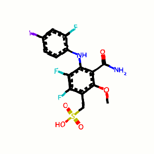 COc1c(CS(=O)(=O)O)c(F)c(F)c(Nc2ccc(I)cc2F)c1C(N)=O